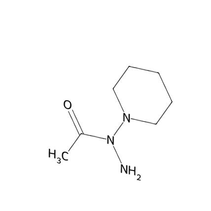 CC(=O)N(N)N1CCCCC1